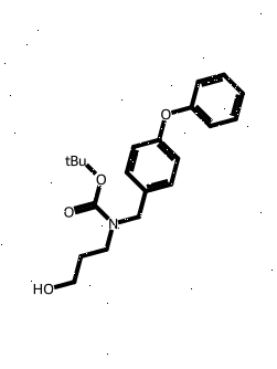 CC(C)(C)OC(=O)N(CCCO)Cc1ccc(Oc2ccccc2)cc1